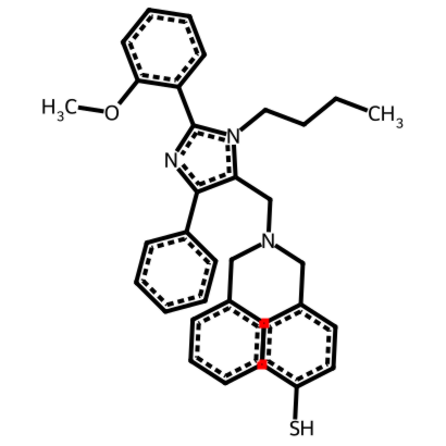 CCCCn1c(-c2ccccc2OC)nc(-c2ccccc2)c1CN(Cc1ccccc1)Cc1ccc(S)cc1